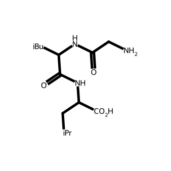 CCC(C)C(NC(=O)CN)C(=O)NC(CC(C)C)C(=O)O